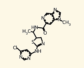 CC(NC(=O)c1cc2c(cn1)ncn2C)C1CN=C(Nc2cc(Cl)ncn2)S1